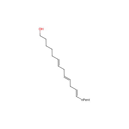 CCCCCC=CCC=CCC=CCCCCCO